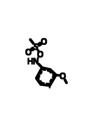 COc1[c]ccc(NOS(C)(=O)=O)c1